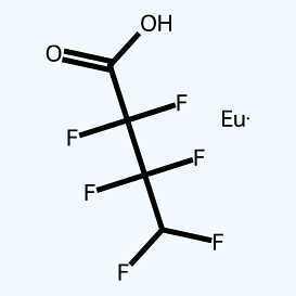 O=C(O)C(F)(F)C(F)(F)C(F)F.[Eu]